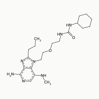 CCCc1nc2c(N)ncc(NC)c2n1CCOCCNC(=O)NC1CCCCC1